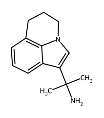 CC(C)(N)c1cn2c3c(cccc13)CCC2